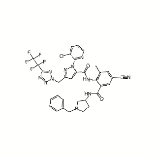 Cc1cc(C#N)cc(C(=O)NC2CCN(Cc3ccccc3)C2)c1NC(=O)c1cc(Cn2nnc(C(F)(F)C(F)(F)F)n2)nn1-c1ncccc1Cl